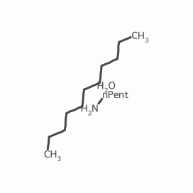 CCCCCCCCCCC.CCCCCN.O